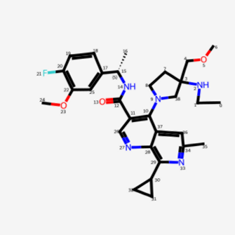 CCNC1(COC)CCN(c2c(C(=O)N[C@@H](C)c3ccc(F)c(OC)c3)cnc3c(C4CC4)nc(C)cc23)C1